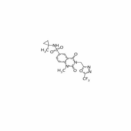 Cn1c(=O)n(Cc2nnc(C(F)(F)F)o2)c(=O)c2cc(S(=O)(=O)NC3(C)CC3)ccc21